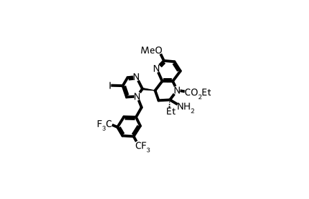 CCOC(=O)N1c2ccc(OC)nc2[C@H](C2N=CC(I)=CN2Cc2cc(C(F)(F)F)cc(C(F)(F)F)c2)C[C@@]1(N)CC